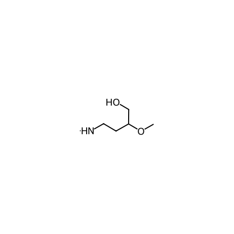 COC(CO)CC[NH]